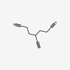 C#CC(CCC#N)CCC#N